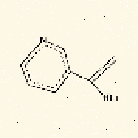 C=C(c1cccnc1)C(C)(C)C